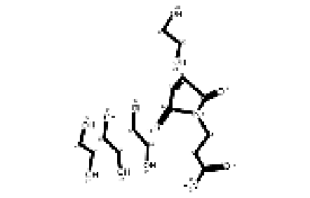 NC(=O)CCN1C(=O)C=CC1=O.OCCO.OCCO.OCCO.OCCO